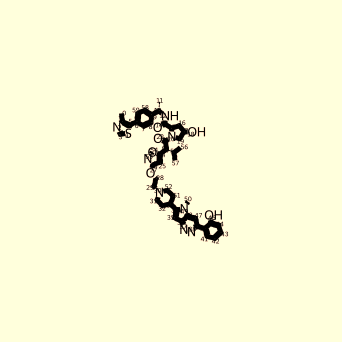 Cc1ncsc1-c1ccc([C@H](C)NC(=O)C2CC(O)CN2C(=O)[C@@H](c2cc(OCCN3CCC(c4cc5nnc(-c6ccccc6O)cc5n4C)CC3)no2)C(C)C)cc1